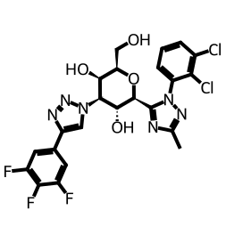 Cc1nc([C@@H]2O[C@H](CO)[C@H](O)[C@H](n3cc(-c4cc(F)c(F)c(F)c4)nn3)[C@H]2O)n(-c2cccc(Cl)c2Cl)n1